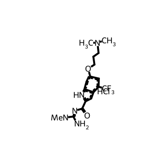 CNC(N)=NC(=O)c1cc2c(C(F)(F)F)cc(OCCCN(C)C)cc2[nH]1.Cl